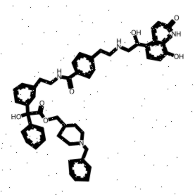 O=C(NCCc1cccc(C(O)(C(=O)OCC2CCN(Cc3ccccc3)CC2)c2ccccc2)c1)c1ccc(CCNCC(O)c2ccc(O)c3[nH]c(=O)ccc23)cc1